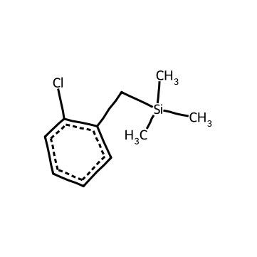 C[Si](C)(C)Cc1ccccc1Cl